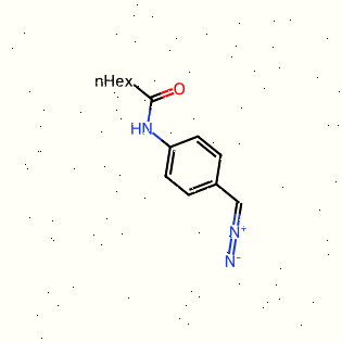 CCCCCCC(=O)Nc1ccc(C=[N+]=[N-])cc1